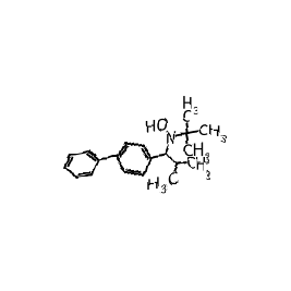 CC(C)C(c1ccc(-c2ccccc2)cc1)N(O)C(C)(C)C